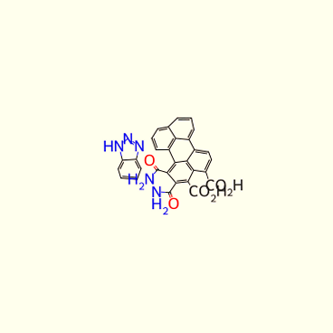 NC(=O)c1c(C(=O)O)c2c(C(=O)O)ccc3c4cccc5cccc(c(c1C(N)=O)c23)c54.c1ccc2[nH]nnc2c1